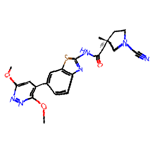 COc1cc(-c2ccc3nc(NC(=O)[C@]4(C)CCN(C#N)C4)sc3c2)c(OC)nn1